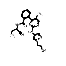 CCC(C#N)NC(=O)c1ccccc1-c1nc(Nc2cnn(CCO)c2)ncc1C